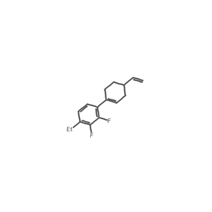 C=CC1CC=C(c2ccc(CC)c(F)c2F)CC1